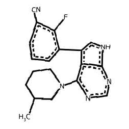 CC1CCCN(c2ncnc3[nH]cc(-c4cccc(C#N)c4F)c23)C1